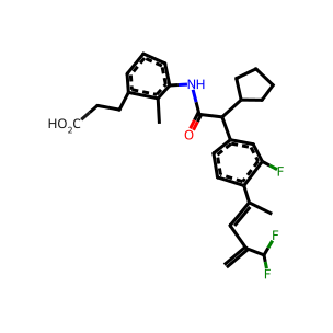 C=C(/C=C(\C)c1ccc(C(C(=O)Nc2cccc(CCC(=O)O)c2C)C2CCCC2)cc1F)C(F)F